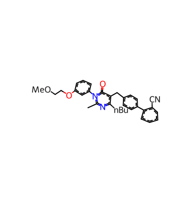 CCCCc1nc(C)n(-c2cccc(OCCOC)c2)c(=O)c1Cc1ccc(-c2ccccc2C#N)cc1